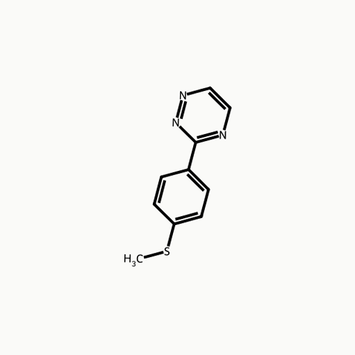 CSc1ccc(-c2nccnn2)cc1